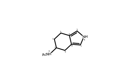 CC(=O)NC1CCc2c[nH]cc2C1